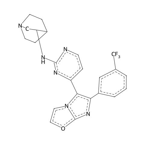 FC(F)(F)c1cccc(-c2nc3occn3c2-c2ccnc(NC3CN4CCC3CC4)n2)c1